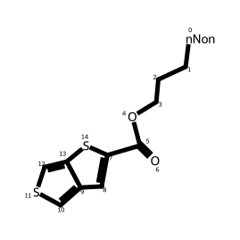 CCCCCCCCCCCCOC(=O)c1cc2cscc2s1